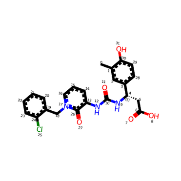 Cc1cc([C@H](CC(=O)O)NC(=O)Nc2cccn(Cc3ccccc3Cl)c2=O)ccc1O